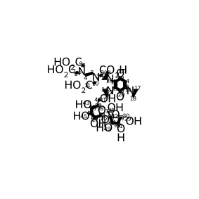 O=C(O)CN(CCN(CC(=O)O)CC(=O)O)CC(=O)O.O=C1C=C(N2CC2)C(=O)C(N2CC2)=C1N1CC1.OC[C@H]1O[C@@](CO)(O[C@H]2O[C@H](CO)[C@@H](O)[C@H](O)[C@H]2O)[C@@H](O)[C@@H]1O